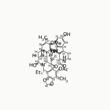 CC[C@H]1c2c3c(c(C)c(OC(C)=O)c2[C@]2(OC(=O)[C@]4(CS2)NCCc2c4[nH]c4ccc(O)cc24)C2[C@H]4N[C@H](Cc5cc(C)c(OC)c(O)c54)[C@H](O)N21)OCO3